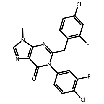 Cn1cnc2c(=O)n(-c3ccc(Cl)c(F)c3)c(Cc3ccc(Cl)cc3F)nc21